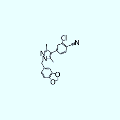 Cc1nn(Cc2ccc3c(c2)OCO3)c(C)c1-c1ccc(C#N)c(Cl)c1